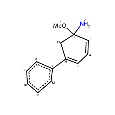 COC1(N)C=CC=C(c2ccccc2)C1